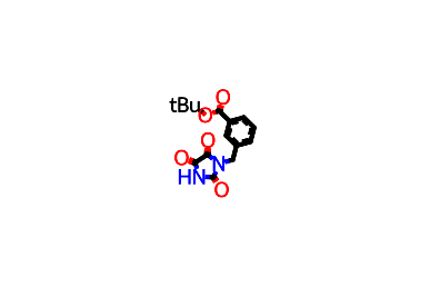 CC(C)(C)OC(=O)c1cccc(CN2C(=O)NC(=O)C2=O)c1